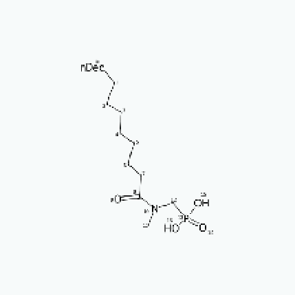 CCCCCCCCCCCCCCCCCC(=O)N(C)CP(=O)(O)O